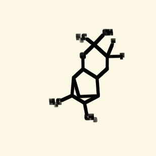 CC1C(C)C2CC1C1CC(F)(F)C(O)(C(F)(F)F)OC21